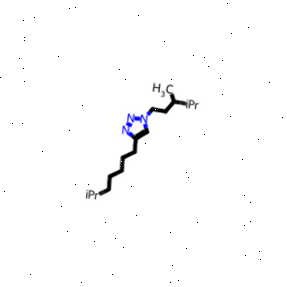 CC(C)CCCCCc1cn(CCC(C)C(C)C)nn1